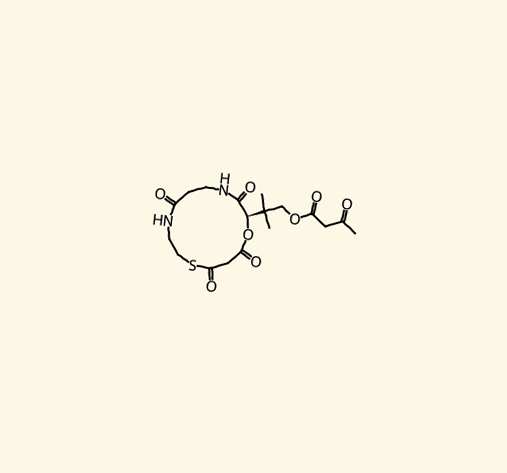 CC(=O)CC(=O)OCC(C)(C)[C@H]1OC(=O)CC(=O)SCCNC(=O)CCNC1=O